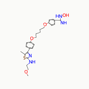 COCCNc1nc(-c2ccc(OCCCCCOc3ccc(C(=N)NO)cc3)cc2)c(C)s1